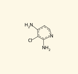 Nc1ccnc(N)c1Cl